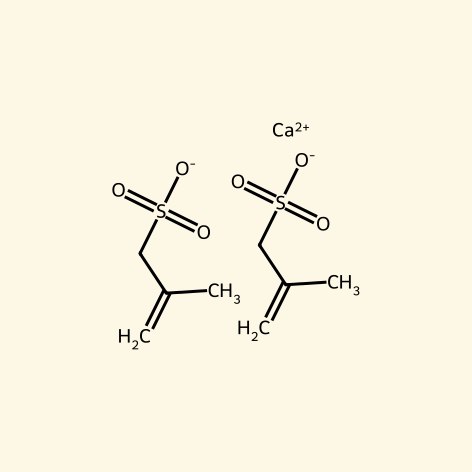 C=C(C)CS(=O)(=O)[O-].C=C(C)CS(=O)(=O)[O-].[Ca+2]